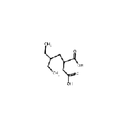 CCC(CC)CC(CC(=O)O)C(=O)O